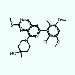 COc1cc(OC)c(Cl)c(-c2cc3cnc(SC)nc3c(N3CCC(C)(O)CC3)n2)c1C